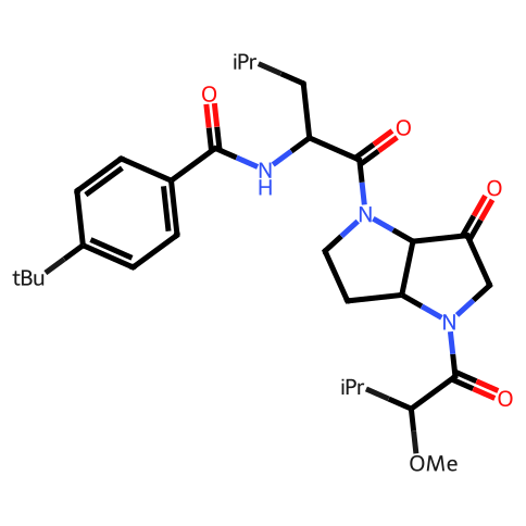 COC(C(=O)N1CC(=O)C2C1CCN2C(=O)C(CC(C)C)NC(=O)c1ccc(C(C)(C)C)cc1)C(C)C